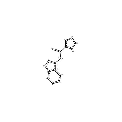 O=C(Nn1ccc2ccccc21)c1ccco1